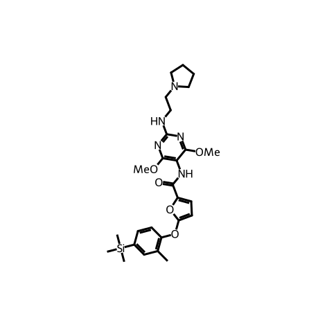 COc1nc(NCCN2CCCC2)nc(OC)c1NC(=O)c1ccc(Oc2ccc([Si](C)(C)C)cc2C)o1